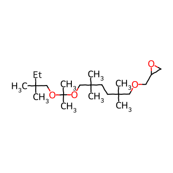 CCC(C)(C)COC(C)(C)OCC(C)(C)CCC(C)(C)COCC1CO1